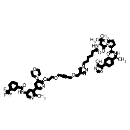 Cc1ncc(NC(=O)c2cccc(C(F)(F)F)c2)cc1-c1cnc(OCCOCC#CCOCc2cn(CCCCCC(=O)N[C@@H](C(=O)N3CCC[C@H]3C(=O)N[C@@H](C)c3ccc(-c4scnc4C)cc3)C(C)(C)C)nn2)c(N2CCOCC2)c1